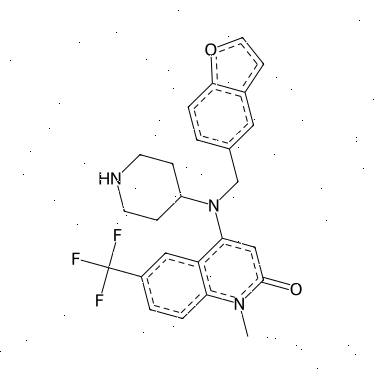 Cn1c(=O)cc(N(Cc2ccc3occc3c2)C2CCNCC2)c2cc(C(F)(F)F)ccc21